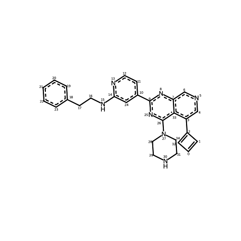 C1=CC(c2cncc3nc(-c4ccnc(NCCc5ccccc5)c4)nc(N4CCNCC4)c23)=C1